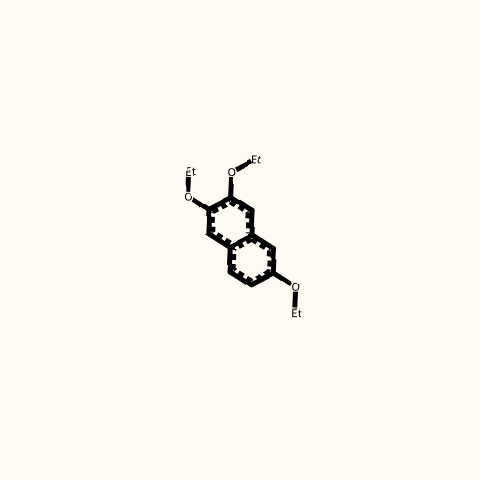 CCOc1ccc2[c]c(OCC)c(OCC)cc2c1